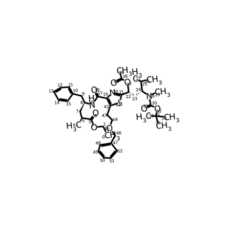 CCOC(=O)[C@@H](C)C[C@@H](Cc1ccccc1)NC(=O)c1nc([C@@H](C[C@H](C(C)C)N(C)C(=O)OC(C)(C)C)OC(C)=O)sc1CCOCc1ccccc1